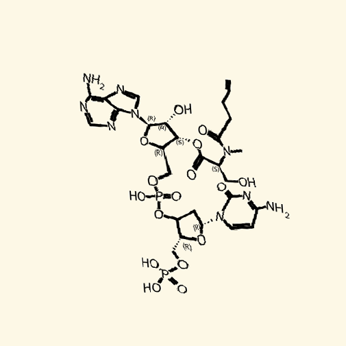 C=CCCC(=O)N(C)[C@@H](CO)C(=O)O[C@H]1[C@@H](O)[C@H](n2cnc3c(N)ncnc32)O[C@@H]1COP(=O)(O)OC1C[C@H](n2ccc(N)nc2=O)O[C@@H]1COP(=O)(O)O